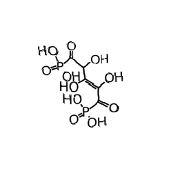 O=C(/C(O)=C(\O)C(O)C(=O)P(=O)(O)O)P(=O)(O)O